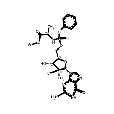 CC(C)OC(=O)[C@@H](C)NP(=O)(OC[C@H]1O[C@@H](n2cnc3c(=O)[nH]c(N)nc32)[C@](C)(Cl)[C@@H]1O)Oc1ccccc1